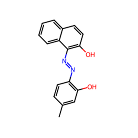 Cc1ccc(N=Nc2c(O)ccc3ccccc23)c(O)c1